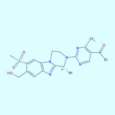 CCC(=O)c1cnc(N2CCn3c(nc4cc(CO)c(S(C)(=O)=O)cc43)[C@H]2C(C)C)nc1C(F)(F)F